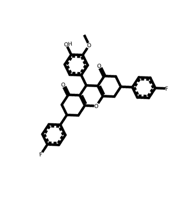 COc1cc(C2C3=C(CC(c4ccc(F)cc4)CC3=O)OC3=C2C(=O)CC(c2ccc(F)cc2)C3)ccc1O